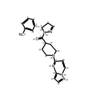 N#Cc1cccc([C@@H]2CC=NN2C(=O)C2CCN(c3ccn4nccc4n3)CC2)c1